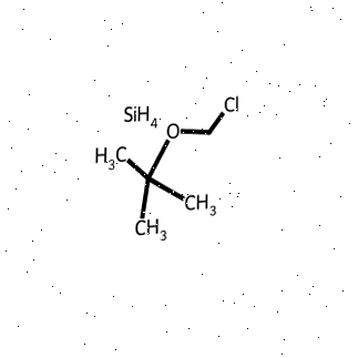 CC(C)(C)OCCl.[SiH4]